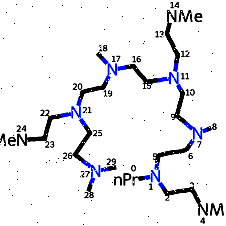 CCCN(CCNC)CCN(C)CCN(CCNC)CCN(C)CCN(CCNC)CCN(C)C